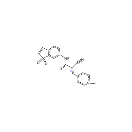 Cc1ccc(/C=C(\C#N)C(=O)Nc2ccc3c(c2)S(=O)(=O)C=C3)cc1